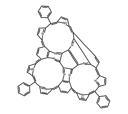 C1=Cc2nc1c(-c1ccccc1)c1ccc([nH]1)c1ccc3c4nc(c(-c5ccccc5)c5ccc([nH]5)c5ccc6c7nc(c(-c8ccccc8)c8ccc([nH]8)c8ccc2c2nc9c%10nc1c3nc%10c1nc5c6nc1c9nc82)C=C7)C=C4